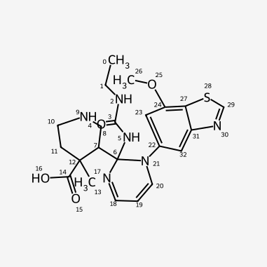 CCNC(=O)NC1(C2CNCCC2(C)C(=O)O)N=CC=CN1c1cc(OC)c2scnc2c1